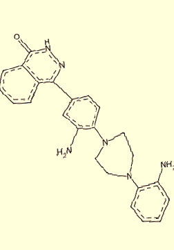 Nc1ccccc1N1CCN(c2ccc(-c3n[nH]c(=O)c4ccccc34)cc2N)CC1